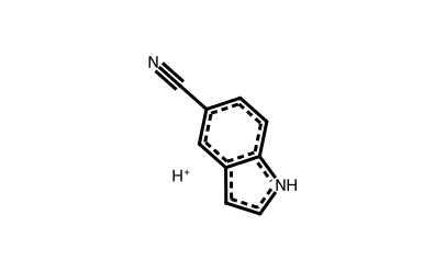 N#Cc1ccc2[nH]ccc2c1.[H+]